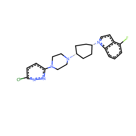 Fc1cccc2c1ccn2[C@H]1CC[C@@H](N2CCN(c3ccc(Cl)nn3)CC2)CC1